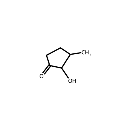 CC1CCC(=O)C1O